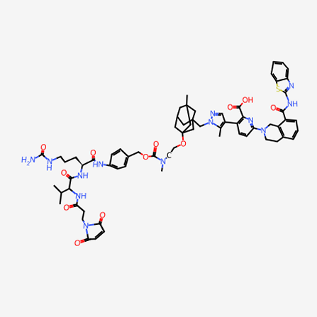 Cc1c(-c2ccc(N3CCc4cccc(C(=O)Nc5nc6ccccc6s5)c4C3)nc2C(=O)O)cnn1CC12CC3CC(C)(C1)CC(OCCN(C)C(=O)OCc1ccc(NC(=O)[C@H](CCCNC(N)=O)NC(=O)C(NC(=O)CCN4C(=O)C=CC4=O)C(C)C)cc1)(C3)C2